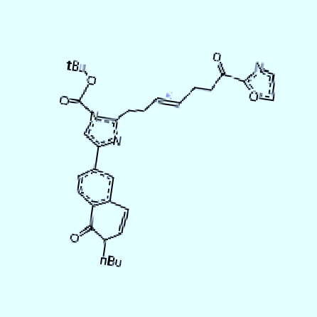 CCCCC1C=Cc2cc(-c3cn(C(=O)OC(C)(C)C)c(CC/C=C/CCC(=O)c4ncco4)n3)ccc2C1=O